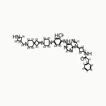 Cl.O=C(Cc1ccccc1)NC1CC(n2cnc3c(Nc4ccc(N5CCN(C6CC7(CCN(CC8CNC8)CC7)C6)CC5)cc4)ncnc32)C1